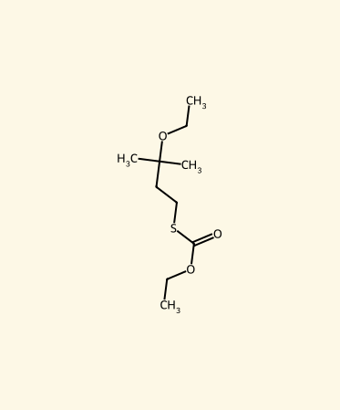 CCOC(=O)SCCC(C)(C)OCC